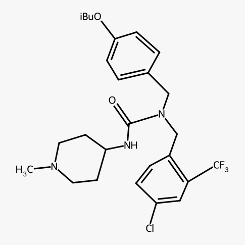 CC(C)COc1ccc(CN(Cc2ccc(Cl)cc2C(F)(F)F)C(=O)NC2CCN(C)CC2)cc1